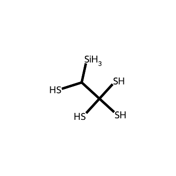 [SiH3]C(S)C(S)(S)S